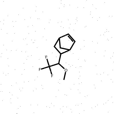 COC(C1CC2C=CC1C2)C(F)(F)F